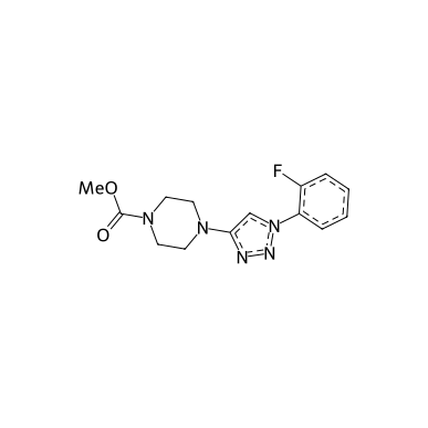 COC(=O)N1CCN(c2cn(-c3ccccc3F)nn2)CC1